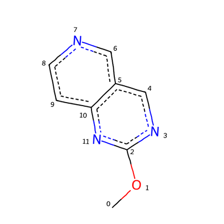 COc1ncc2cnccc2n1